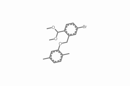 COC(OC)c1ccc(Br)cc1COc1cc(C)ccc1C